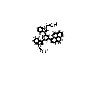 C#CCn1cc(-c2cc(-c3ccc4ccc5cccc6ccc3c4c56)cc(-c3cn(CC#C)c4ccccc34)n2)c2ccccc21